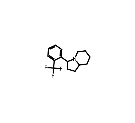 FC(F)(F)c1ccccc1C1CCC2CCCCN21